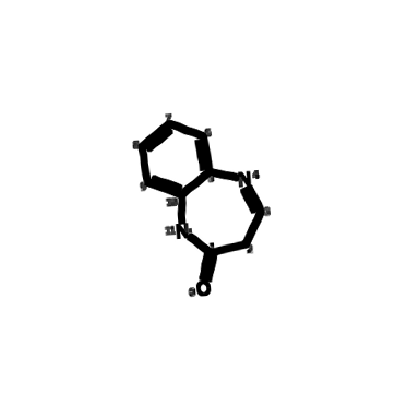 O=C1CC=Nc2ccccc2[N]1